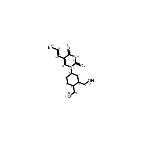 O=c1[nH]c(=O)n(C2CCC(CO)C(CO)C2)cc1C=CBr